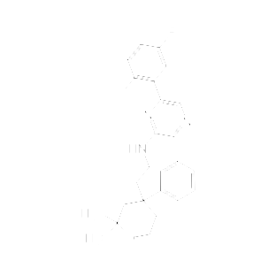 CC1(C)CC(CCNc2cncc(-c3cc(F)ccc3F)n2)(c2ccccc2)CCO1